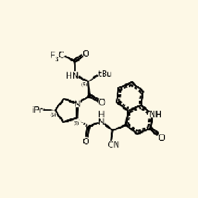 CC(C)[C@@H]1C[C@@H](C(=O)NC(C#N)c2cc(=O)[nH]c3ccccc23)N(C(=O)[C@@H](NC(=O)C(F)(F)F)C(C)(C)C)C1